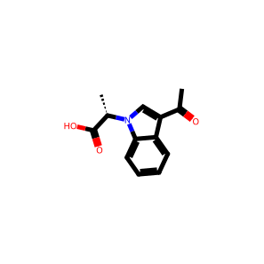 CC(=O)c1cn([C@@H](C)C(=O)O)c2ccccc12